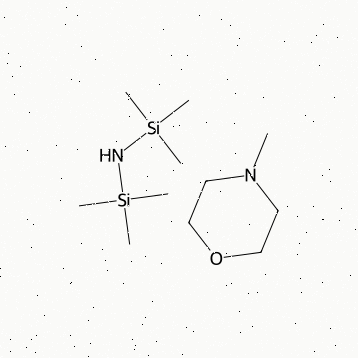 CN1CCOCC1.C[Si](C)(C)N[Si](C)(C)C